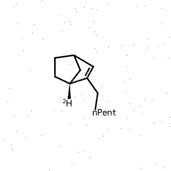 [2H][C@]12CCC(C=C1CCCCCC)C2